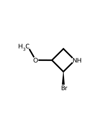 COC1CN[C@H]1Br